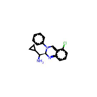 NC(C1CC1)[C@@H]1N=c2cccc(Cl)c2=CN1c1ccccc1